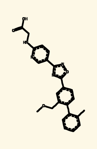 COCc1cc(-c2nc(-c3ccc(NCC(=O)O)nc3)no2)ccc1-c1ccccc1C